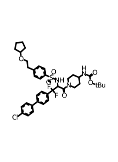 CC(C)(C)OC(=O)NC1CCN(C(=O)C(NS(=O)(=O)c2ccc(CCOC3CCCC3)cc2)C(F)(F)c2ccc(-c3ccc(Cl)cc3)cc2)CC1